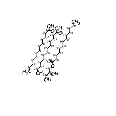 CCCCCCCCCCCCC(=O)O.CCCCCCCCCCCCC(=O)O.CCCCCCCCCCCCC(=O)OCC(O)CO